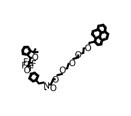 CN(CCc1ccc(OC(F)(F)C(F)(F)C2OC(C)(C)c3ccccc32)cc1)C(=O)COCCOCCOCCOCCOCc1ccc2ccc3cccc4ccc1c2c34